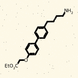 CCOC(=O)COc1ccc(-c2ccc(CCCCN)cc2)cc1